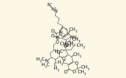 CC[C@@H](O)[C@@]1(C)OC(=O)N(CCCCN=[N+]=[N-])[C@@H]1[C@@H](C)NC[C@H](C)C[C@@](C)(OC)[C@H](O[C@@H]1OC(COC(=O)c2ccccc2)CC(N(C)C)C1C)[C@@H](C)C1=C(C)C(=O)OC(C)(C)O1